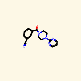 N#Cc1cccc(C(=O)N2CCN(c3ncccn3)CC2)c1